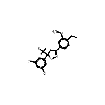 CCc1ccc(C2=NOC(c3cc(Cl)cc(Cl)c3)(C(F)(F)F)C2)cc1NN